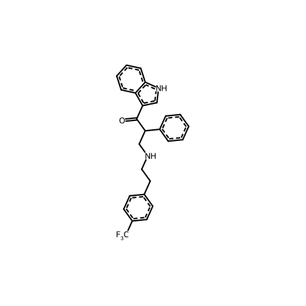 O=C(c1c[nH]c2ccccc12)C(CNCCc1ccc(C(F)(F)F)cc1)c1ccccc1